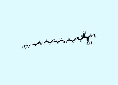 COCCOCCOCCOCCOCC(=O)C(C)C